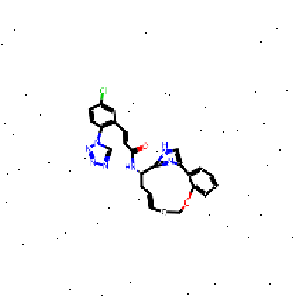 O=C(/C=C/c1cc(Cl)ccc1-n1cnnn1)N[C@H]1C/C=C/CCOc2ccccc2-c2c[nH]c1n2